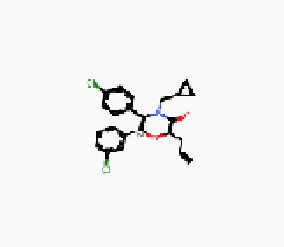 C=CCC1O[C@@H](c2cccc(Cl)c2)C(c2ccc(Cl)cc2)N(CC2CC2)C1=O